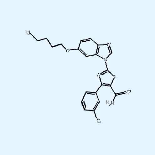 NC(=O)c1sc(-n2cnc3ccc(OCCCCCl)cc32)nc1-c1cccc(Cl)c1